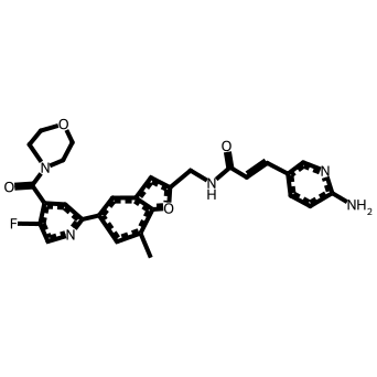 Cc1cc(-c2cc(C(=O)N3CCOCC3)c(F)cn2)cc2cc(CNC(=O)/C=C/c3ccc(N)nc3)oc12